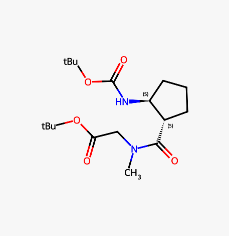 CN(CC(=O)OC(C)(C)C)C(=O)[C@H]1CCC[C@@H]1NC(=O)OC(C)(C)C